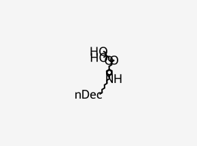 CCCCCCCCCCCCCCCCNc1ccc(CCC(=O)OCC(O)CO)cc1